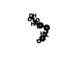 COc1ccc([C@@H](C)NCc2cccc(-c3ccc(NC(=O)CCC(=O)O)nc3)c2)cc1